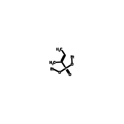 CC=C(C)P(=O)(OCC)OCC